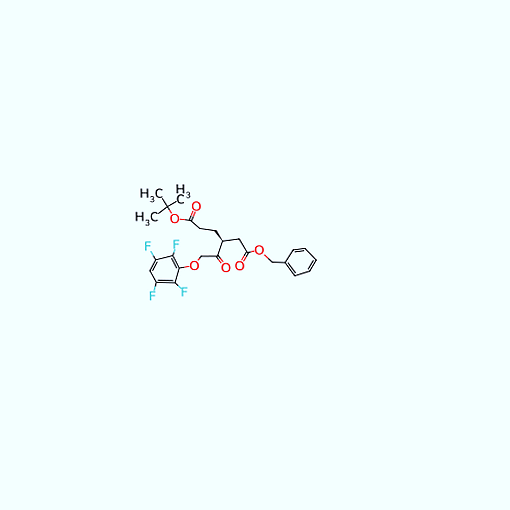 CC(C)(C)OC(=O)CC[C@@H](CC(=O)OCc1ccccc1)C(=O)COc1c(F)c(F)cc(F)c1F